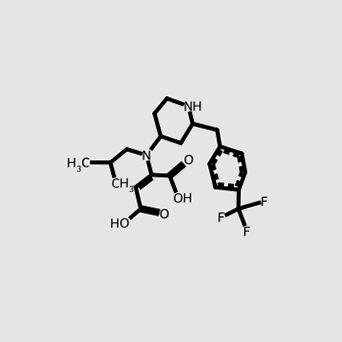 CC(C)CN(/C(=C/C(=O)O)C(=O)O)C1CCNC(Cc2ccc(C(F)(F)F)cc2)C1